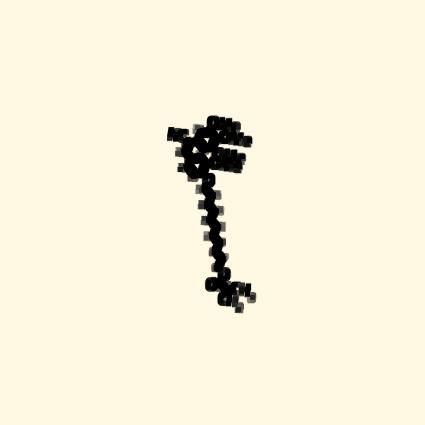 C=C(C)C(=O)OCCCCCCCCCCCOc1ccc(C=C(C#N)c2cc(OC)c(OC)c(OC)c2)cc1OC